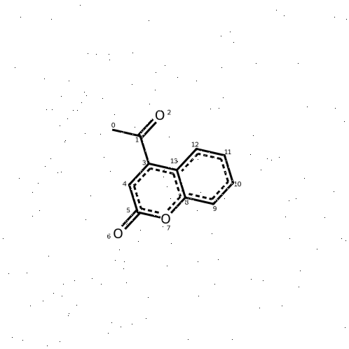 CC(=O)c1cc(=O)oc2ccccc12